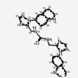 O=C(NCc1ncnn1-c1ccc2ncccc2c1)NCc1ncnn1-c1ccc2ncccc2c1